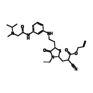 C=CCOC(=O)C(C#N)CC1SC(CCNc2cccc(NC(=O)CN(C)C(C)C)c2)C(=O)N1CC